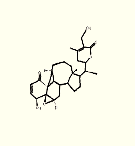 CC1=C(CO)C(=O)OC([C@@H](C)C2CCC3C4C[C@H]5O[C@]56[C@@H](O)C=CC(=O)[C@]65C4[C@@H]5CCC[C@@]32C)C1